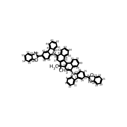 CC1(C)c2cc(-n3c4ccccc4c4cc(-c5nc6ccccc6o5)ccc43)c3ccccc3c2-c2c1cc(-n1c3ccccc3c3cc(-c4nc5ccccc5o4)ccc31)c1ccccc21